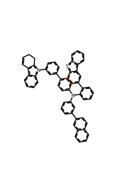 C1=Cc2c(n(-c3cccc(-c4ccc(N(c5cccc(-c6ccc7ccccc7c6)c5)c5ccccc5-c5ccc6sc7ccccc7c6c5)cc4)c3)c3ccccc23)CC1